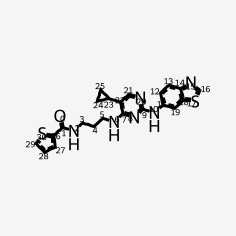 O=C(NCCCNc1nc(Nc2ccc3ncsc3c2)ncc1C1CC1)c1cccs1